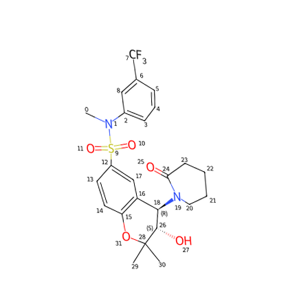 CN(c1cccc(C(F)(F)F)c1)S(=O)(=O)c1ccc2c(c1)[C@@H](N1CCCCC1=O)[C@H](O)C(C)(C)O2